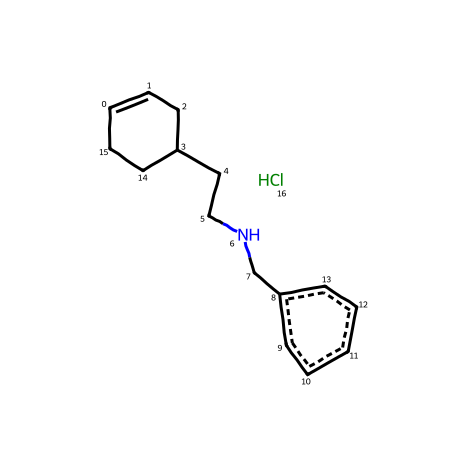 C1=CCC(CCNCc2ccccc2)CC1.Cl